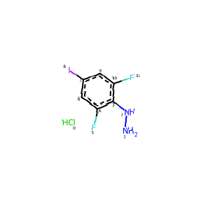 Cl.NNc1c(F)cc(I)cc1F